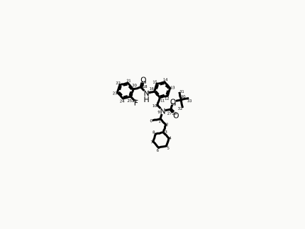 CC(CC1CCCCC1)N(Cc1ccccc1NC(=O)c1ccccc1F)C(=O)OC(C)(C)C